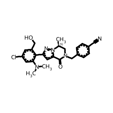 C[C@H]1CN(Cc2ccc(C#N)cc2)C(=O)c2cc(-c3c(CO)cc(Cl)cc3N(C)C)nn21